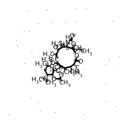 CC[C@H]1OC(=O)[C@H](C)[C@@H](O)[C@H](C)[C@@H](O[C@@H]2O[C@H](C)C[C@H](N(C)C)[C@H]2OC(C)=O)[C@](C)(OC)C[C@@H](C)C(=O)[C@H](C)[C@H]2NC(=O)O[C@@]21C